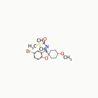 COC1CCC2(CC1)Oc1ccc(Br)cc1C2=NC(=O)S(C)(C)C